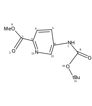 COC(=O)c1ccc(NC(=O)OC(C)(C)C)cn1